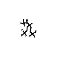 C[Si](C)(C)N[Si](C)(CCC(F)(F)F)CCC(F)(F)F